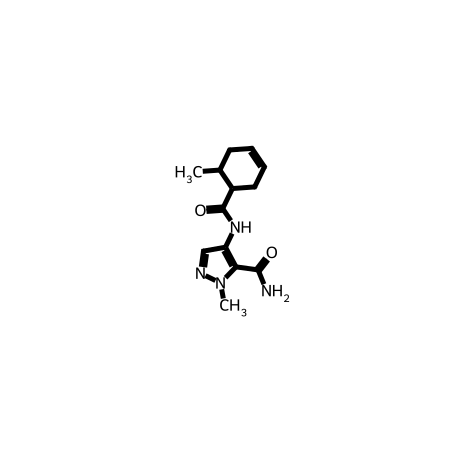 CC1CC=CCC1C(=O)Nc1cnn(C)c1C(N)=O